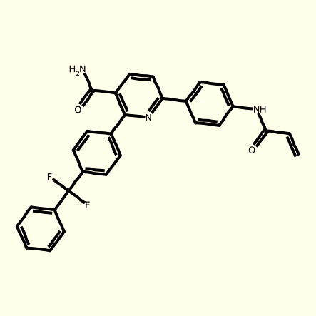 C=CC(=O)Nc1ccc(-c2ccc(C(N)=O)c(-c3ccc(C(F)(F)c4ccccc4)cc3)n2)cc1